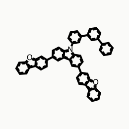 c1ccc(-c2cccc(-c3cccc(-n4c5ccc(-c6ccc7c(c6)oc6ccccc67)cc5c5cc(-c6ccc7c(c6)oc6ccccc67)ccc54)c3)c2)cc1